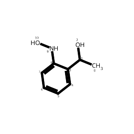 CC(O)c1ccccc1NO